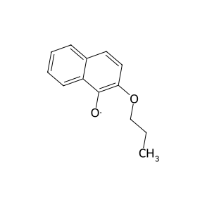 CCCOc1ccc2ccccc2c1[O]